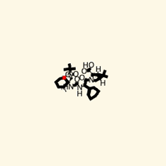 C[C@@H]1CCC[C@H](C)[C@@]1(CS(=O)(=O)C(C)(C)C)NC(=O)N[C@H](C(=O)N1C[C@H]2[C@@H]([C@H]1C(=O)O)C2(C)C)C1=CCCCC1